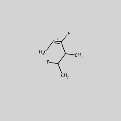 C/C=C(/F)C(C)C(C)F